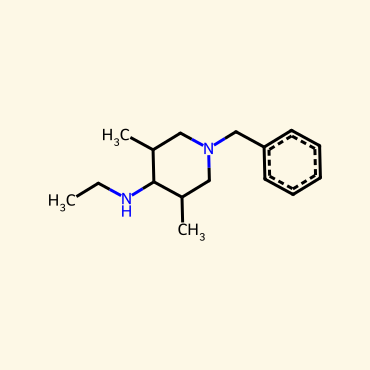 CCNC1C(C)CN(Cc2ccccc2)CC1C